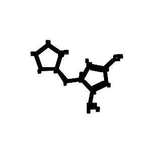 Nc1cc(Cl)nn1C[C@H]1CCCO1